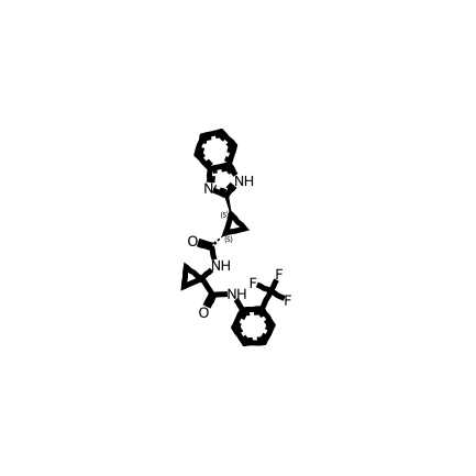 O=C(NC1(C(=O)Nc2ccccc2C(F)(F)F)CC1)[C@H]1C[C@@H]1c1nc2ccccc2[nH]1